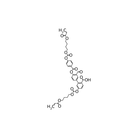 C=CC(=O)OCCCCOC(=O)Oc1ccc(C(=O)Oc2ccc(-c3cc(OC(=O)OCCCCOC(=O)C=C)ccc3C(=O)O)cc2C=O)cc1